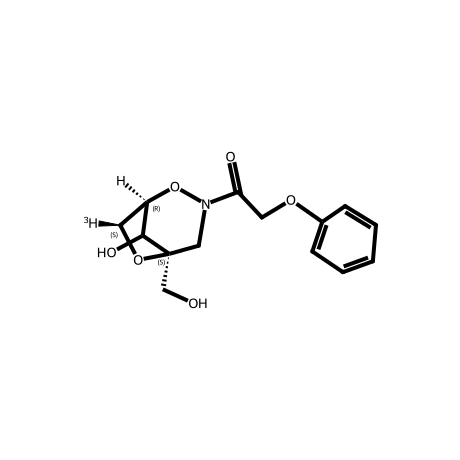 [3H][C@@H]1O[C@]2(CO)CN(C(=O)COc3ccccc3)O[C@H]1C2O